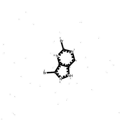 Brc1ncc2[nH]nc(Br)c2n1